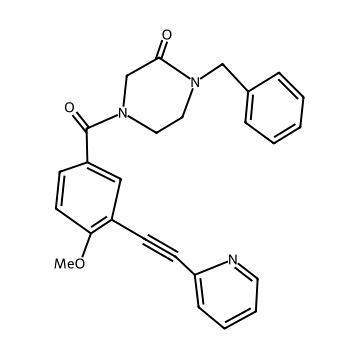 COc1ccc(C(=O)N2CCN(Cc3ccccc3)C(=O)C2)cc1C#Cc1ccccn1